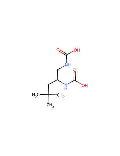 CC(C)(C)CC(CNC(=O)O)NC(=O)O